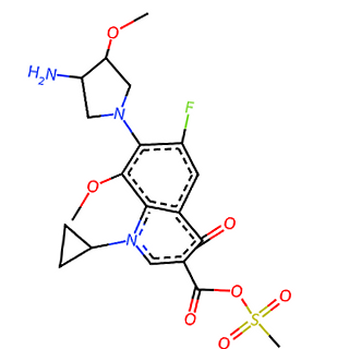 COc1c(N2CC(N)C(OC)C2)c(F)cc2c(=O)c(C(=O)OS(C)(=O)=O)cn(C3CC3)c12